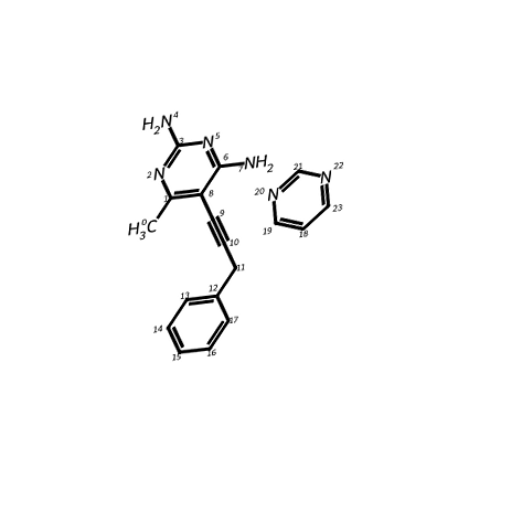 Cc1nc(N)nc(N)c1C#CCc1ccccc1.c1cncnc1